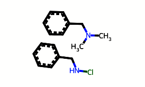 CN(C)Cc1ccccc1.ClNCc1ccccc1